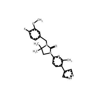 COc1cc(CN2C(=O)N(c3ccc(-c4cn[nH]c4)c(C)n3)CC2(C)C)ccc1F